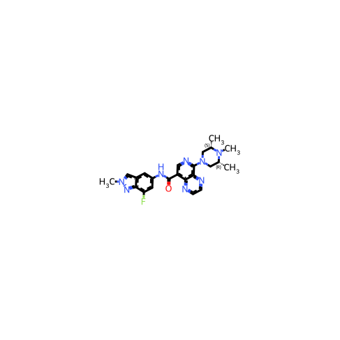 C[C@@H]1CN(c2ncc(C(=O)Nc3cc(F)c4nn(C)cc4c3)c3nccnc23)C[C@H](C)N1C